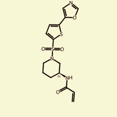 C=CC(=O)N[C@H]1CCCN(S(=O)(=O)c2ccc(-c3cnco3)s2)C1